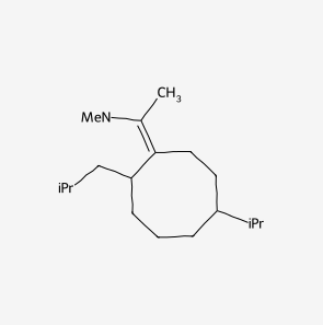 CN/C(C)=C1/CCC(C(C)C)CCCC1CC(C)C